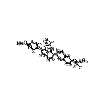 COc1cc(C)c(-c2cc3c(N[C@H]4CCOC4)c(/C(N)=N/c4ccc(O[Si](C)(C)C(C)(C)C)cc4C)cnn3c2)cn1